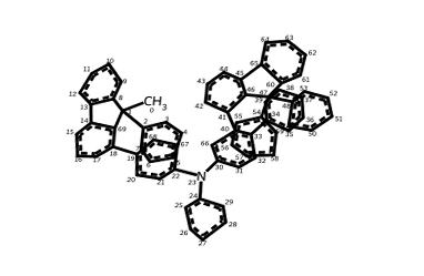 CC1(c2ccccc2)c2ccccc2-c2cccc(-c3ccc(N(c4ccccc4)c4ccc(-c5ccccc5)c(-c5cccc6c5C(c5ccccc5)(c5ccccc5)c5ccccc5-6)c4)cc3)c21